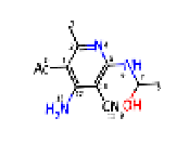 CC(=O)c1c(C)nc(NC(C)O)c(C#N)c1N